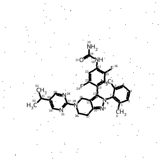 Cc1cccc(C)c1-n1nc2c(c1-c1cc(F)c(NC(N)=O)cc1F)CN(c1ncc(C(C)C)cn1)CC2